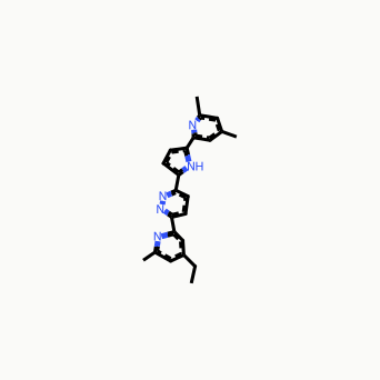 CCc1cc(C)nc(-c2ccc(-c3ccc(-c4cc(C)cc(C)n4)[nH]3)nn2)c1